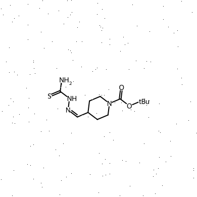 CC(C)(C)OC(=O)N1CCC(/C=N\NC(N)=S)CC1